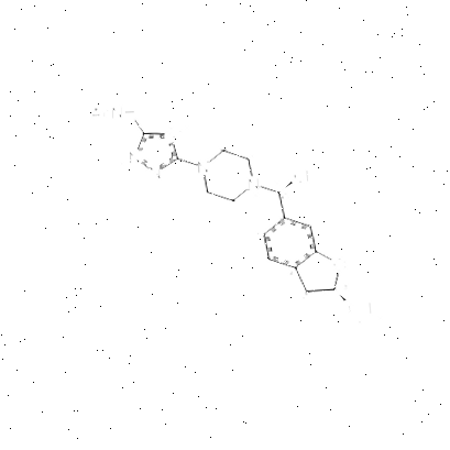 CC(=O)Nc1nnc(N2CCN([C@@H](C)c3ccc4c(c3)O[C@@H](C)C4)CC2)s1